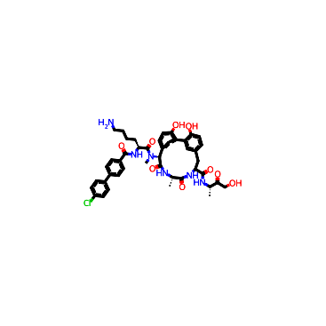 C[C@H](NC(=O)C1Cc2ccc(O)c(c2)-c2cc(ccc2O)[C@H](N(C)C(=O)[C@H](CCCCN)NC(=O)c2ccc(-c3ccc(Cl)cc3)cc2)C(=O)N[C@@H](C)C(=O)N1)C(=O)CO